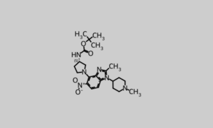 Cc1nc2c(N3CC[C@H](NC(=O)OC(C)(C)C)C3)c([N+](=O)[O-])ccc2n1C1CCN(C)CC1